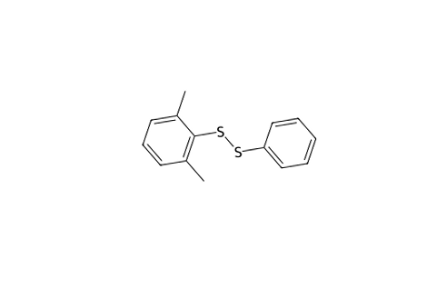 Cc1cccc(C)c1SSc1ccccc1